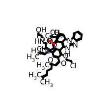 CC(C)=CCCC1(C)C=Cc2c(c(CC=C(C)C)c3c(c2OC(=O)CCl)C2=C4C(C5CC6C(C)(C)OC(C/C=C(/C)C(=O)NCCO)(C5=O)C46O3)n3c(nc4ccccc43)N2)O1